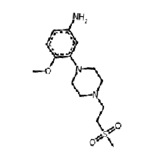 COc1ccc(N)cc1N1CCN(CCS(C)(=O)=O)CC1